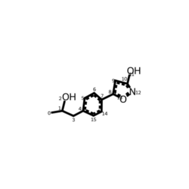 CC(O)Cc1ccc(-c2cc(O)no2)cc1